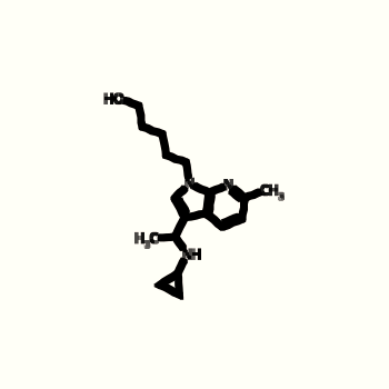 Cc1ccc2c(C(C)NC3CC3)cn(CCCCCO)c2n1